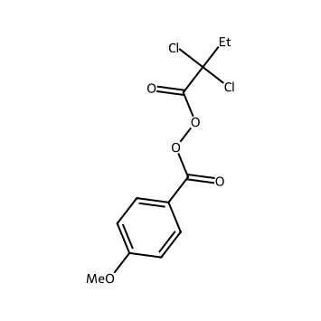 CCC(Cl)(Cl)C(=O)OOC(=O)c1ccc(OC)cc1